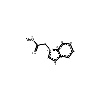 COC(=O)C[n+]1csc2ccccc21